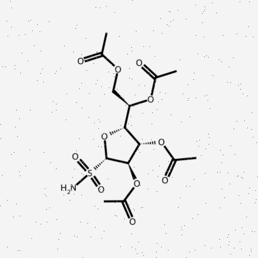 CC(=O)OC[C@@H](OC(C)=O)[C@H]1O[C@@H](S(N)(=O)=O)[C@H](OC(C)=O)[C@H]1OC(C)=O